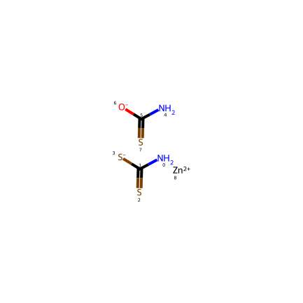 NC(=S)[S-].NC([O-])=S.[Zn+2]